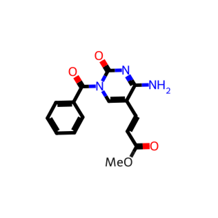 COC(=O)C=Cc1cn(C(=O)c2ccccc2)c(=O)nc1N